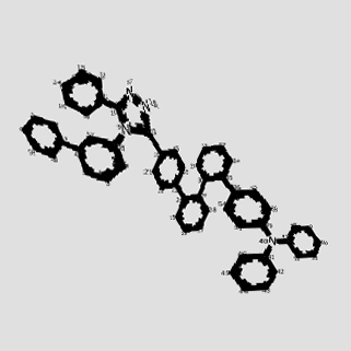 c1ccc(-c2cccc(-n3c(-c4ccccc4)nnc3-c3ccc(-c4ccccc4-c4ccccc4-c4ccc(N(c5ccccc5)c5ccccc5)cc4)cc3)c2)cc1